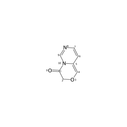 O=C1COC=C2C=CN=CN12